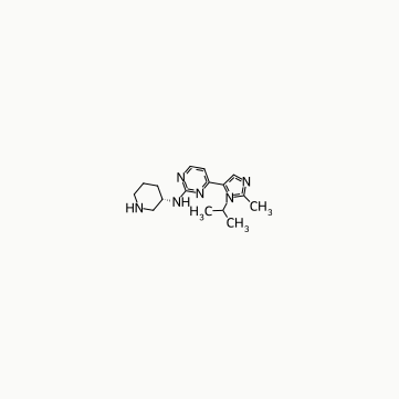 Cc1ncc(-c2ccnc(N[C@H]3CCCNC3)n2)n1C(C)C